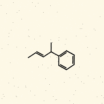 [CH2]C(/C=C/C)c1ccccc1